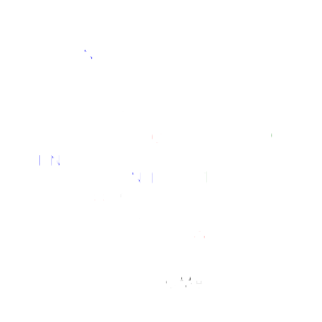 COc1ccc(C(=O)NC(C(=O)c2ccc(N(C)C)cc2)C2CCNCC2)cc1OCCc1ccc(Cl)cc1Cl